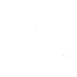 [C-]#[N+]COc1ccc(CC(C(C)=O)c2ccccc2)cc1